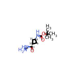 CC(C)(C)OC(=O)N[C@H]1C[C@H](C(=O)NN)C1